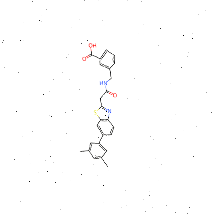 Cc1cc(C)cc(-c2ccc3nc(CC(=O)NCc4cccc(C(=O)O)c4)sc3c2)c1